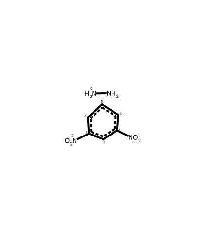 NN.O=[N+]([O-])c1cccc([N+](=O)[O-])c1